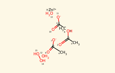 CC(=O)O.CC(=O)[O-].CC(=O)[O-].O.O.OO.[Zn+2]